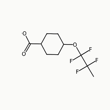 CC(F)(F)C(F)(F)OC1CCC(C([O])=O)CC1